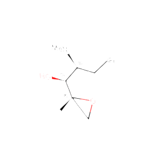 CN[C@@H](CC(C)C)[C@H](O)[C@@]1(C)CO1